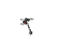 CC1(c2ccc(O)cc2)COc2cc(O)ccc2C1c1cccc(OCCCCSCCCC(F)(F)C(F)(F)F)c1